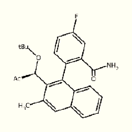 CC(=O)[C@@H](OC(C)(C)C)c1c(C)cc2ccccc2c1-c1ccc(F)cc1C(N)=O